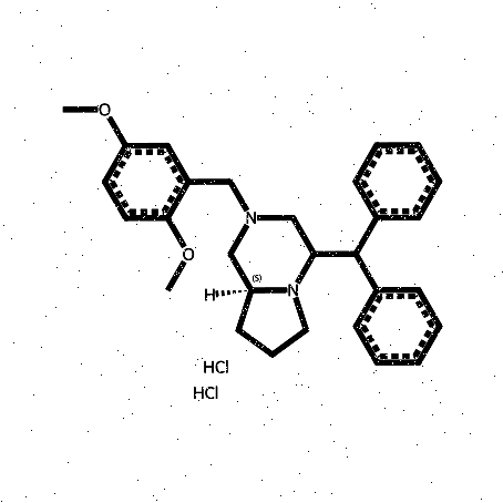 COc1ccc(OC)c(CN2CC(C(c3ccccc3)c3ccccc3)N3CCC[C@H]3C2)c1.Cl.Cl